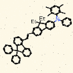 CCC1(CC)c2cc(/C=C/c3cccc4c3-c3ccccc3C4(c3ccccc3)c3ccccc3)ccc2-c2ccc(N(c3ccccc3)c3c(C)c(C)cc(C)c3C)cc21